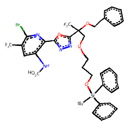 CC(C)(C)[Si](OCCCOCC(OCc1ccccc1)(c1nnc(-c2nc(Br)c(C(F)(F)F)cc2NC(=O)O)o1)C(F)(F)F)(c1ccccc1)c1ccccc1